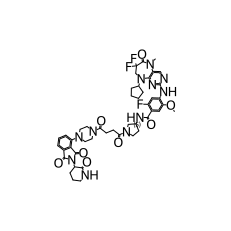 COc1cc(C(=O)N[C@H]2CCN(C(=O)CCC(=O)N3CCN(c4cccc5c4C(=O)N(C4CCCNC4=O)C5=O)CC3)C2)c(F)cc1Nc1ncc2c(n1)N(C1CCCC1)CC(F)(F)C(=O)N2C